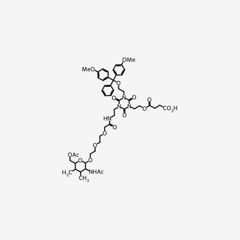 COc1ccc(C(OCCn2c(=O)n(CCNC(=O)COCCOCCOC3OC(COC(C)=O)C(C)C(C)C3NC(C)=O)c(=O)n(CCOC(=O)CCC(=O)O)c2=O)(c2ccccc2)c2ccc(OC)cc2)cc1